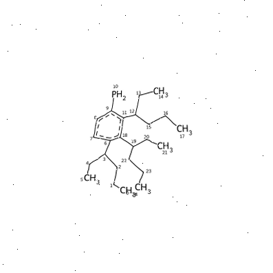 CCCC(CC)c1ccc(P)c(C(CC)CCC)c1C(CC)CCC